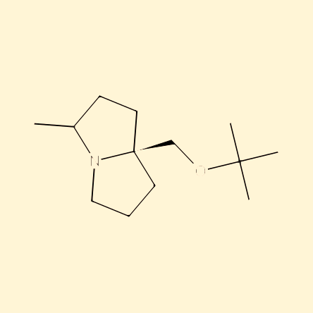 CC1CC[C@]2(COC(C)(C)C)CCCN12